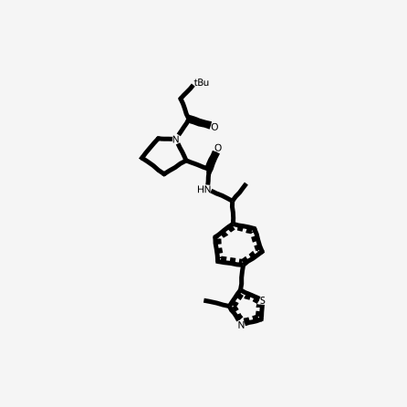 Cc1ncsc1-c1ccc(C(C)NC(=O)C2CCCN2C(=O)CC(C)(C)C)cc1